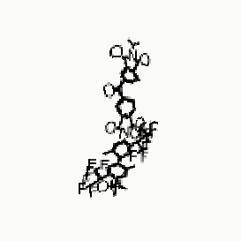 Cc1cc(N2C(=O)c3ccc(C(=O)c4ccc5c(c4)C(=O)N(C(C)C)C5=O)cc3C2=O)c(C(O)(C(F)(F)F)C(F)(F)F)cc1-c1cc(C(O)(C(F)(F)F)C(F)(F)F)c(C(C)(C)C)cc1C